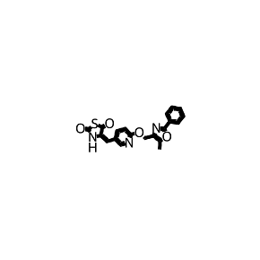 Cc1oc(-c2ccccc2)nc1COc1ccc(C=C2NC(=O)SC2=O)cn1